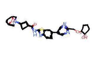 O=C(Nc1nc2ccc(-c3cnc(CO[C@H]4CCC[C@@H]4O)nc3)cc2s1)C1CC(N2CC3CC(C2)O3)C1